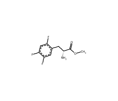 COC(=O)[C@H](N)Cc1cc(F)c(F)cc1F